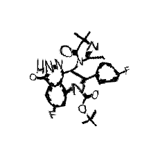 CC1=NC(C)(C)C(=O)N1C1c2n[nH]c(=O)c3cc(F)cc(c23)N(C(=O)OC(C)(C)C)C1c1ccc(F)cc1